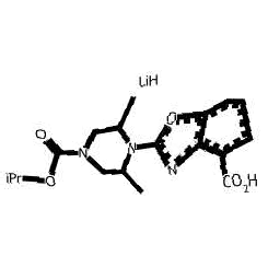 CC(C)OC(=O)N1CC(C)N(c2nc3c(C(=O)O)cccc3o2)C(C)C1.[LiH]